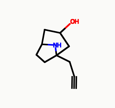 C#CCC12CCC(CC(O)C1)N2